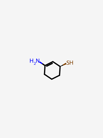 NC1=C[C@@H](S)CCC1